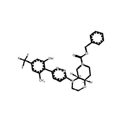 Cc1cc(C(F)(F)F)cc(O)c1-c1ccc(N2CCO[C@H]3CCN(C(=O)OCc4ccccc4)C[C@H]32)nn1